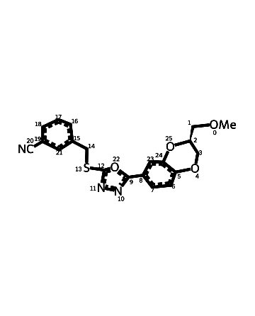 COC[C@H]1COc2ccc(-c3nnc(SCc4cccc(C#N)c4)o3)cc2O1